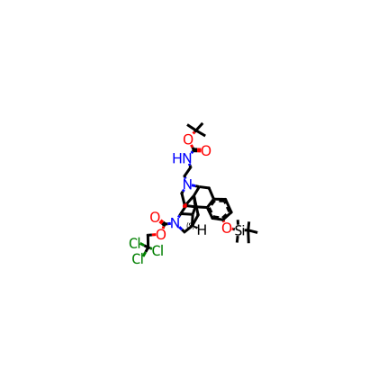 CC(C)(C)OC(=O)NCCN1CCC23c4cc(O[Si](C)(C)C(C)(C)C)ccc4CC1C21CCC2C3[C@@H](CN2C(=O)OCC(Cl)(Cl)Cl)C1